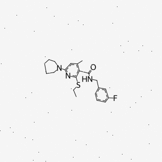 CCSc1nc(N2CCCCC2)cc(C)c1C(=O)NCc1cccc(F)c1